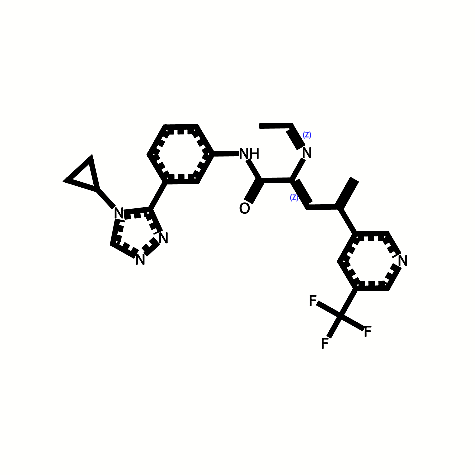 C=C(/C=C(\N=C/C)C(=O)Nc1cccc(-c2nncn2C2CC2)c1)c1cncc(C(F)(F)F)c1